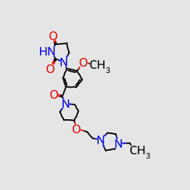 CCN1CCN(CCOC2CCN(C(=O)c3ccc(OC)c(N4CCC(=O)NC4=O)c3)CC2)CC1